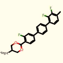 CCCCCCCC1COC(c2ccc(-c3ccc(-c4ccc(C)c(F)c4F)cc3)cc2F)OC1